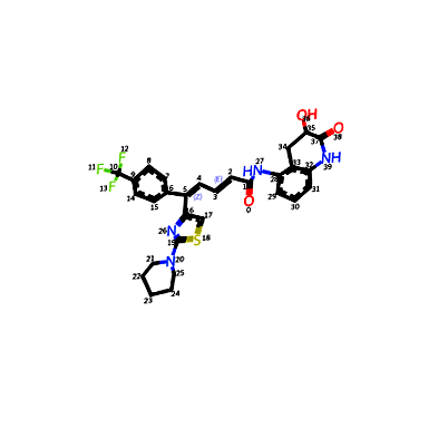 O=C(/C=C/C=C(/c1ccc(C(F)(F)F)cc1)c1csc(N2CCCCC2)n1)Nc1cccc2c1CC(O)C(=O)N2